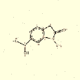 CN1C(=O)Cc2ccc(B(O)O)cc21